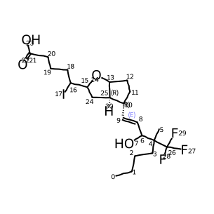 CCCCC(C)(C(O)/C=C/[C@H]1CCC2OC(C(I)CCCC(=O)O)C[C@@H]21)C(F)(F)F